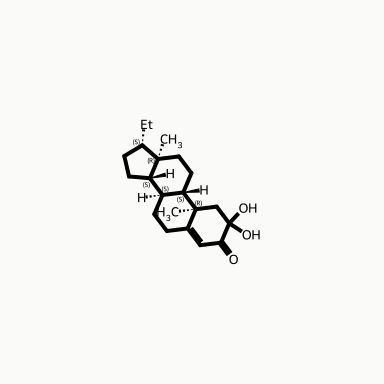 CC[C@H]1CC[C@H]2[C@@H]3CCC4=CC(=O)C(O)(O)C[C@]4(C)[C@H]3CC[C@]12C